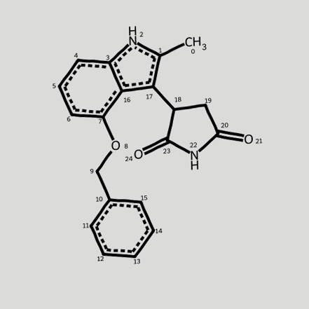 Cc1[nH]c2cccc(OCc3ccccc3)c2c1C1CC(=O)NC1=O